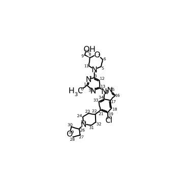 Cc1nc(N2CCO[C@H](CO)C2)cc(-n2ncc3cc(Cl)c(C4CCN(C5CCOC5)CC4)cc32)n1